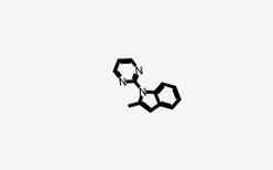 Cc1cc2ccccc2n1-c1ncccn1